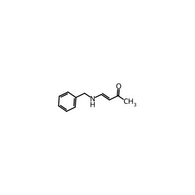 CC(=O)C=CNCc1ccccc1